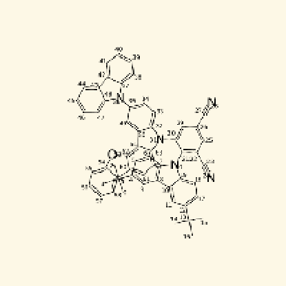 CC(C)(C)c1ccc2c(c1)c1cc(C(C)(C)C)ccc1n2-c1c(C#N)cc(C#N)cc1-n1c2ccc(-n3c4ccccc4c4ccccc43)cc2c2c3oc4ccccc4c3ccc21